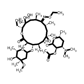 CCO/N=C1\[C@H](C)C[C@@](C)(O)[C@H](OC2O[C@H](C)C[C@H](N(C)C)[C@H]2OC(C)=O)[C@@H](C)[C@H](OC2C[C@@](C)(OC)[C@@H](O)[C@H](C)O2)[C@@H](C)C(=O)O[C@H](CC)[C@@](C)(O)[C@H](O)[C@H]1C